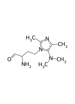 Cc1nc(C)n(CCC(N)C=O)c1N(C)C